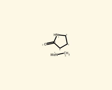 CNC.O=C1CCCN1